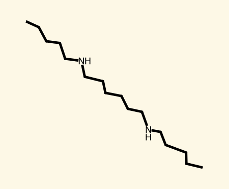 CCCCCNCCCCCCNCCCCC